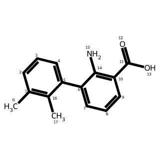 Cc1cccc(-c2cccc(C(=O)O)c2N)c1C